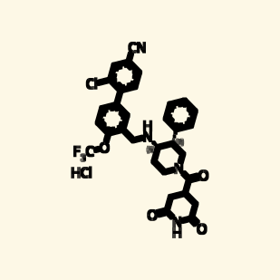 Cl.N#Cc1ccc(-c2ccc(OC(F)(F)F)c(CN[C@H]3CCN(C(=O)C4CC(=O)NC(=O)C4)C[C@H]3c3ccccc3)c2)c(Cl)c1